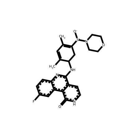 CC1=CC(C)=C([S+]([O-])N2CCOCC2)CC1Nc1nc2ccc(F)cc2c2c(=O)[nH]ccc12